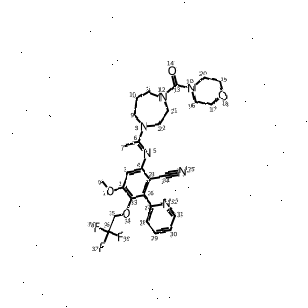 COc1cc(N=C(C)N2CCCN(C(=O)N3CCOCC3)CC2)c(C#N)c(-c2ccccn2)c1OCC(F)(F)F